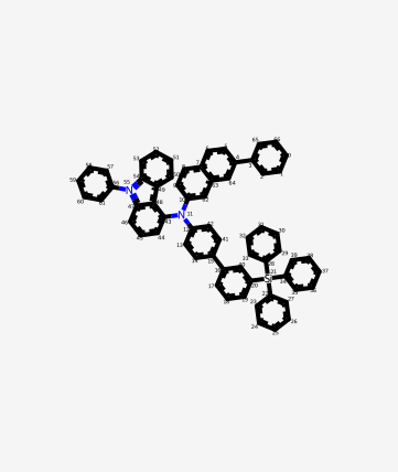 c1ccc(-c2ccc3ccc(N(c4ccc(-c5cccc([Si](c6ccccc6)(c6ccccc6)c6ccccc6)c5)cc4)c4cccc5c4c4ccccc4n5-c4ccccc4)cc3c2)cc1